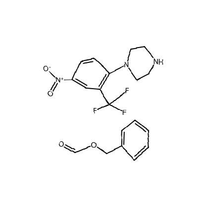 O=COCc1ccccc1.O=[N+]([O-])c1ccc(N2CCNCC2)c(C(F)(F)F)c1